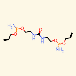 C=CCOP(N)OCCNC(=O)NCCOP(N)OCC=C